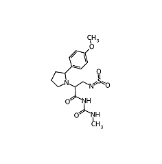 CNC(=O)NC(=O)C(CN=S(=O)=O)N1CCCC1c1ccc(OC)cc1